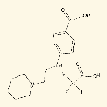 O=C(O)C(F)(F)F.O=C(O)c1ccc(NCCN2CCCCC2)cc1